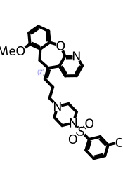 COc1cccc2c1C/C(=C/CCN1CCN(S(=O)(=O)c3cccc(Cl)c3)CC1)c1cccnc1O2